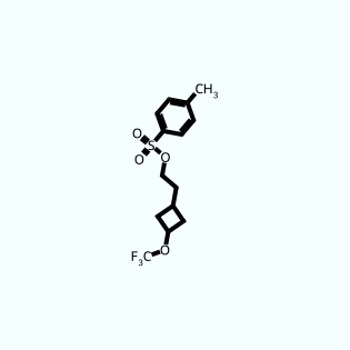 Cc1ccc(S(=O)(=O)OCCC2CC(OC(F)(F)F)C2)cc1